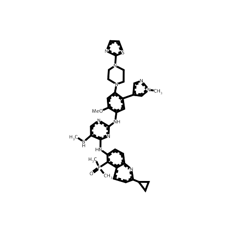 CBc1cnc(Nc2cc(-c3cnn(C)c3)c(N3CCN(c4nccs4)CC3)cc2OC)nc1Nc1ccc2nc(C3CC3)ccc2c1P(C)(C)=O